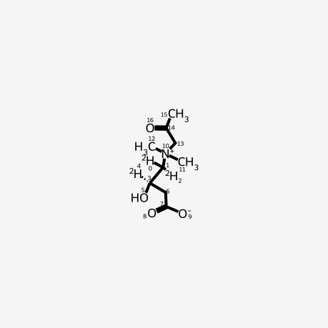 [2H]C([2H])([C@]([2H])(O)CC(=O)[O-])[N+](C)(C)CC(C)=O